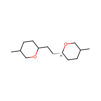 CC1CCC(CC[C@H]2CCC(C)CO2)OC1